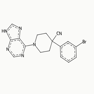 N#CC1(c2cccc(Br)c2)CCN(c2ncnc3[nH]cnc23)CC1